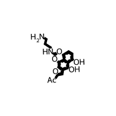 CC(=O)c1cc2c(O)c3c(O)cccc3c(OC(=O)NCCCN)c2o1